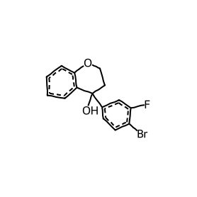 OC1(c2ccc(Br)c(F)c2)CCOc2ccccc21